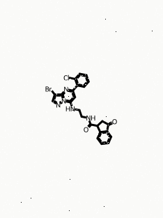 O=C1CC(C(=O)NCCNc2cc(-c3ccccc3Cl)nc3c(Br)cnn23)c2ccccc21